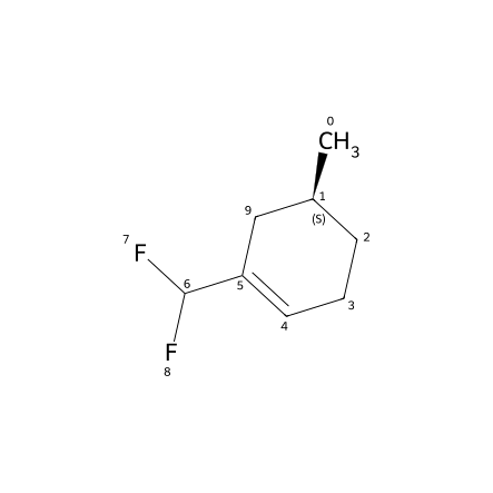 C[C@H]1CCC=C(C(F)F)C1